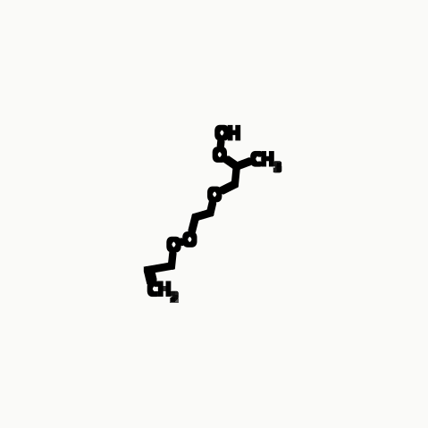 C=CCOOCCOCC(C)OO